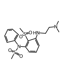 CN(C)CCNc1cc[c]c(N(c2ccccc2)S(C)(=O)=O)c1S(C)(=O)=O